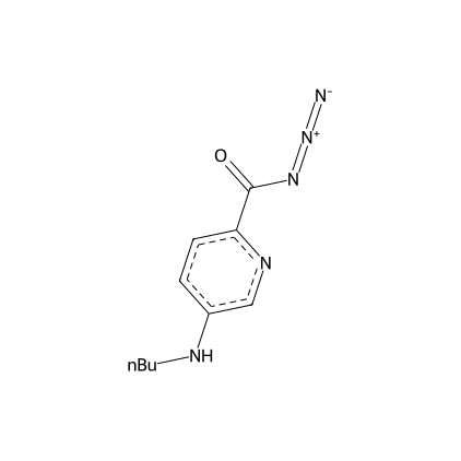 CCCCNc1ccc(C(=O)N=[N+]=[N-])nc1